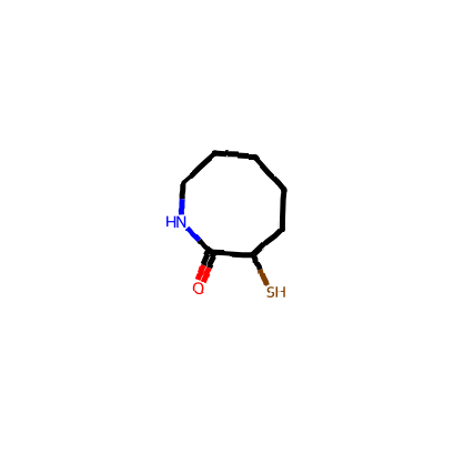 O=C1NCCCCCC1S